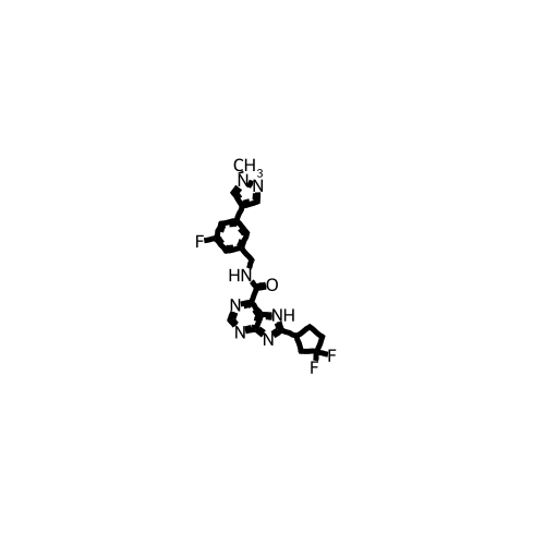 Cn1cc(-c2cc(F)cc(CNC(=O)c3ncnc4nc(C5CCC(F)(F)C5)[nH]c34)c2)cn1